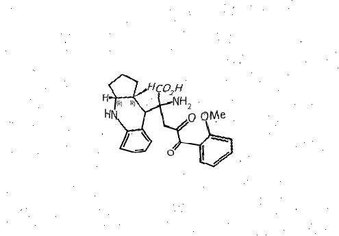 COc1ccccc1C(=O)C(=O)CC(N)(C(=O)O)C1c2ccccc2N[C@@H]2CCC[C@H]12